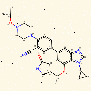 C[C@@H](Oc1cc(-c2ccc(N3CCN(OC(C)(C)C)CC3)c(C#N)c2)cc2ncn(C3CC3)c12)[C@H]1CNC(=O)C1